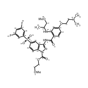 COCCOC(=O)n1nc(NC(=O)c2ccc(OCCN(C)C)cc2NC(C)COC)c2cc(S(=O)(=O)c3cc(F)cc(F)c3)ccc21